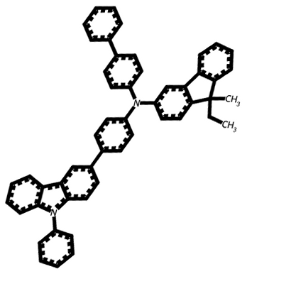 CCC1(C)c2ccccc2-c2cc(N(c3ccc(-c4ccccc4)cc3)c3ccc(-c4ccc5c(c4)c4ccccc4n5-c4ccccc4)cc3)ccc21